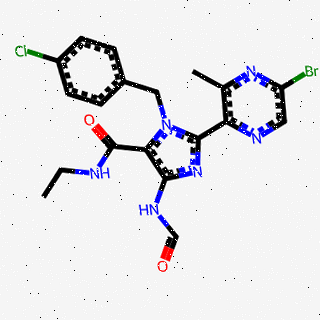 CCNC(=O)c1c(NC=O)nc(-c2ncc(Br)nc2C)n1Cc1ccc(Cl)cc1